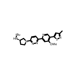 COc1cc(-c2ccc(N3CC[C@@H](NC(C)(C)C)C3)nn2)ncc1-c1cc(C)ns1